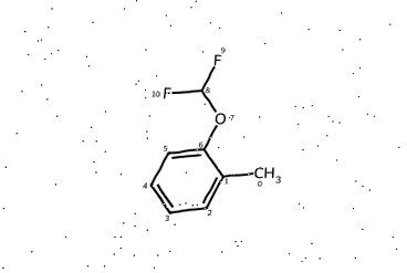 Cc1ccccc1OC(F)F